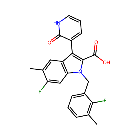 Cc1cc2c(-c3ccc[nH]c3=O)c(C(=O)O)n(Cc3cccc(C)c3F)c2cc1F